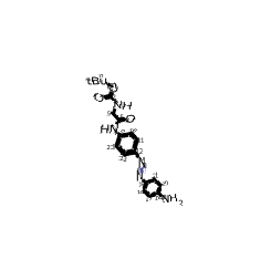 CC(C)(C)OC(=O)NCC(=O)Nc1ccc(/N=N/c2ccc(N)cc2)cc1